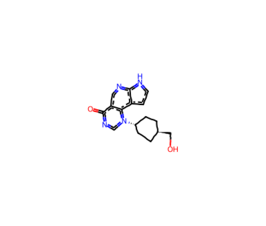 O=c1ncn([C@H]2CC[C@H](CO)CC2)c2c1cnc1[nH]ccc12